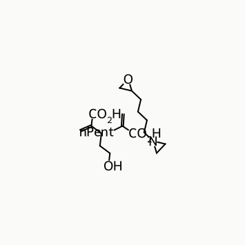 C(CCN1CC1)CC1CO1.C=C(CCCCC)C(=O)O.C=C(CCCO)C(=O)O